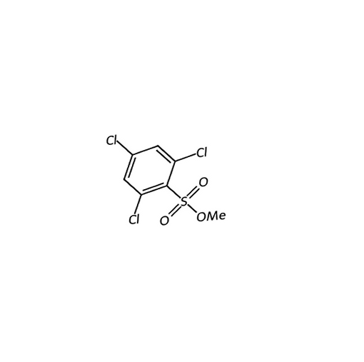 COS(=O)(=O)c1c(Cl)cc(Cl)cc1Cl